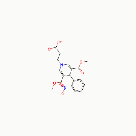 COC(=O)C1=CN(CCC(=O)O)C=C(C(=O)OC)C1c1ccccc1[N+](=O)[O-]